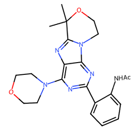 CC(=O)Nc1ccccc1-c1nc(N2CCOCC2)c2nc3n(c2n1)CCOC3(C)C